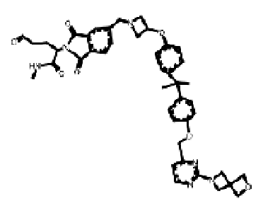 CNC(=O)C(CCC=O)N1C(=O)c2ccc(CN3CC(Oc4ccc(C(C)(C)c5ccc(OCc6ccnc(N7CC8(COC8)C7)n6)cc5)cc4)C3)cc2C1=O